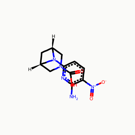 Nc1nc(N2[C@@H]3C[C@H]2CN(C(=O)O)C3)ccc1[N+](=O)[O-]